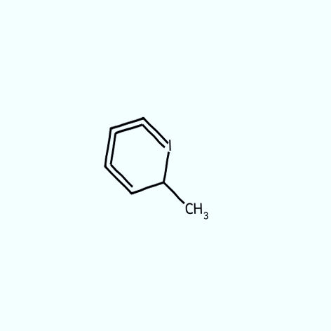 CC1C=C=C=C=I1